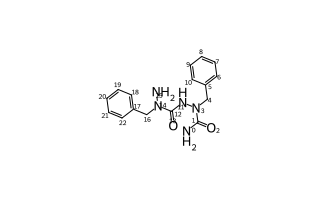 NC(=O)N(Cc1ccccc1)NC(=O)N(N)Cc1ccccc1